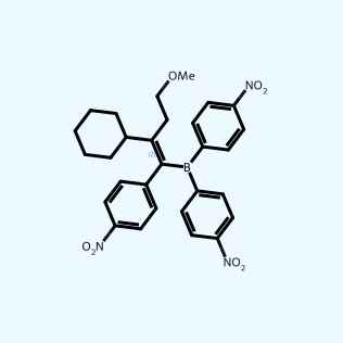 COCC/C(=C(\B(c1ccc([N+](=O)[O-])cc1)c1ccc([N+](=O)[O-])cc1)c1ccc([N+](=O)[O-])cc1)C1CCCCC1